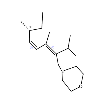 CC[C@@H](C)/C=C\C(C)=C(/CN1CCOCC1)C(C)C